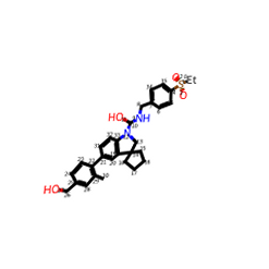 CCS(=O)(=O)c1ccc(CNC(O)N2CC3(CCCC3)c3cc(-c4ccc(CO)cc4C)ccc32)cc1